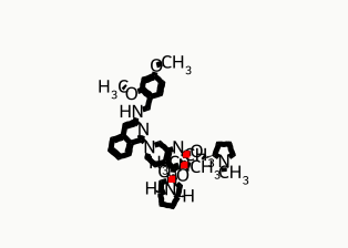 COc1ccc(CNc2cc3ccccc3c(N3CCc4c(nc(OC[C@@H]5CCCN5C)nc4N4C[C@H]5CC[C@@H](C4)N5C(=O)OC(C)(C)C)C3)n2)c(OC)c1